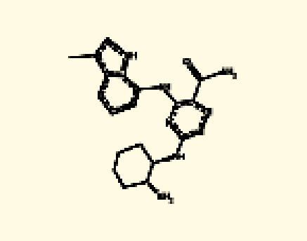 Cc1c[nH]c2c(Nc3nc(N[C@@H]4CCCC[C@@H]4N)nnc3C(N)=O)cccc12